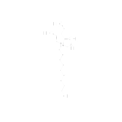 CCCCCCCCCC[N+](CC)(CCC)C(C)CCC